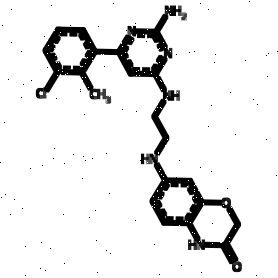 Cc1c(Cl)cccc1-c1cc(NCCNc2ccc3c(c2)OCC(=O)N3)nc(N)n1